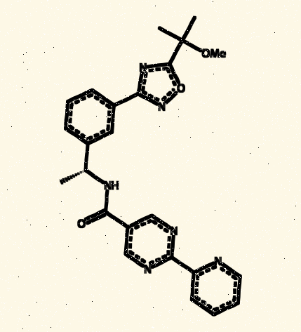 COC(C)(C)c1nc(-c2cccc([C@@H](C)NC(=O)c3cnc(-c4ccccn4)nc3)c2)no1